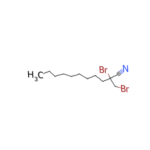 CCCCCCCCCC(Br)(C#N)CBr